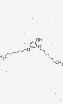 CCCCCCCCOc1ccc(O)c(OCCCCCCCC)c1